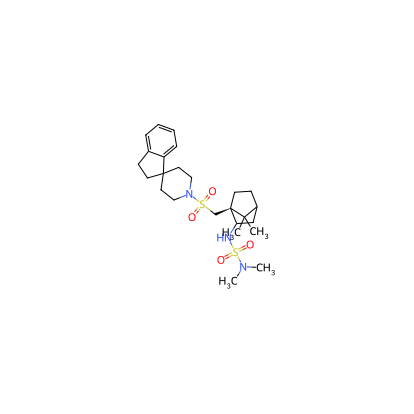 CN(C)S(=O)(=O)NC1CC2CC[C@]1(CS(=O)(=O)N1CCC3(CCc4ccccc43)CC1)C2(C)C